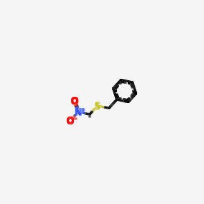 O=[N+]([O-])[CH]SCc1ccccc1